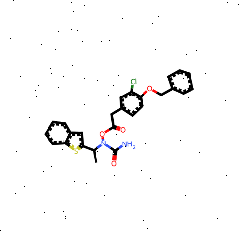 CC(c1cc2ccccc2s1)N(OC(=O)Cc1ccc(OCc2ccccc2)c(Cl)c1)C(N)=O